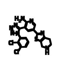 Nc1ncc(-c2nc3c(s2)CNCC3)cc1-c1nnnn1-c1cccc(Cl)c1Cl